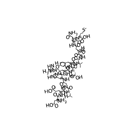 CSCC[C@H](NC(=O)[C@H](CCC(N)=O)NC(=O)CNC(=O)[C@H](CO)NC(=O)[C@@H](NC(=O)[C@H](Cc1ccc(O)cc1)NC(=O)[C@H](CC(=O)O)NC(=O)[C@H](CCCNC(=N)N)NC(=O)[C@H](Cc1c[nH]cn1)NC(=O)CNC(=O)[C@H](CC(C)C)NC(=O)[C@H](CCC(=O)O)NC(=O)[C@@H](N)CC(=O)O)C(C)C)C(=O)O